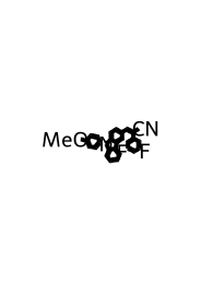 COc1ccc(-n2c3ccccc3c3cc(C=C(C#N)c4cc(F)cc(F)c4)ccc32)cc1